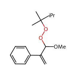 C=C(c1ccccc1)C(OC)OOC(C)(C)C(C)C